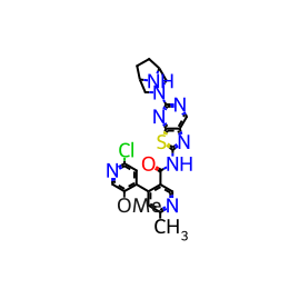 COc1cnc(Cl)cc1-c1cc(C)ncc1C(=O)Nc1nc2cnc(N3CC4CCC(C3)N4)nc2s1